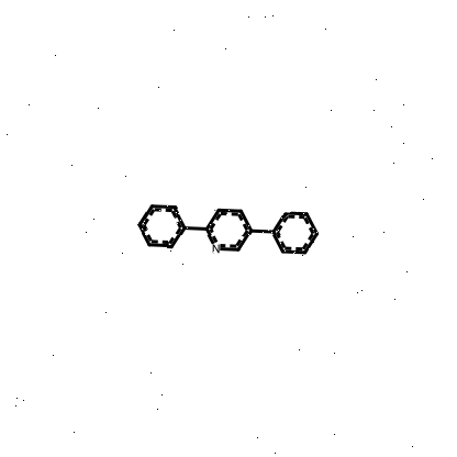 [c]1cc(-c2ccccc2)cnc1-c1ccccc1